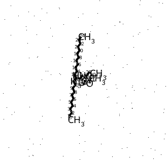 CCCCCCCCCCCCC(CCCCCCCCCCCC)C(=O)NC(CC)[N+](C)(C)[O-]